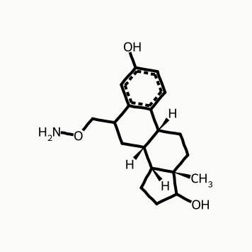 C[C@]12CC[C@H]3c4ccc(O)cc4C(CON)C[C@H]3[C@H]1CCC2O